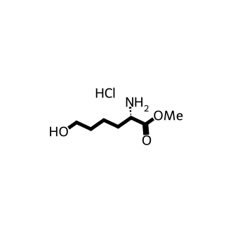 COC(=O)[C@@H](N)CCCCO.Cl